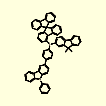 CC1(C)c2ccccc2-c2ccc(N(c3ccc(-c4ccc5c(c4)c4ccccc4n5-c4ccccc4)cc3)c3cccc4c3-c3ccccc3C43c4ccccc4-c4ccccc43)cc21